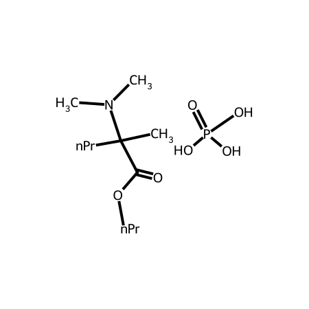 CCCOC(=O)C(C)(CCC)N(C)C.O=P(O)(O)O